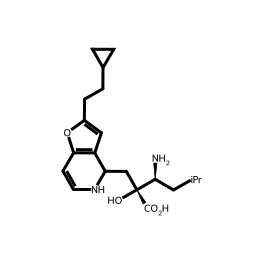 CC(C)C[C@H](N)[C@](O)(CC1NC=Cc2oc(CCC3CC3)cc21)C(=O)O